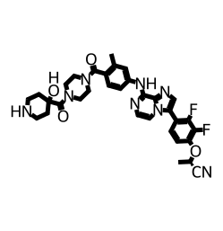 Cc1cc(Nc2nccn3c(-c4ccc(O[C@H](C)C#N)c(F)c4F)cnc23)ccc1C(=O)N1CCN(C(=O)C2(O)CCNCC2)CC1